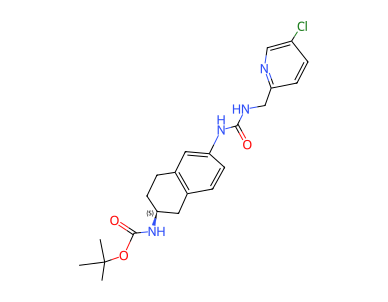 CC(C)(C)OC(=O)N[C@H]1CCc2cc(NC(=O)NCc3ccc(Cl)cn3)ccc2C1